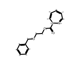 O=C(OCCOCc1ccccc1)N1C=CC=CC=N1